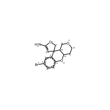 NC1=NC2(CO1)c1cc(Br)ccc1OC1CCOCC12